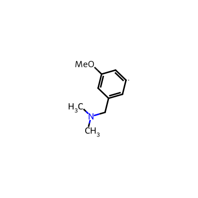 COc1c[c]cc(CN(C)C)c1